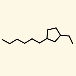 [CH2]CC1C[CH]C(CCCCCC)C1